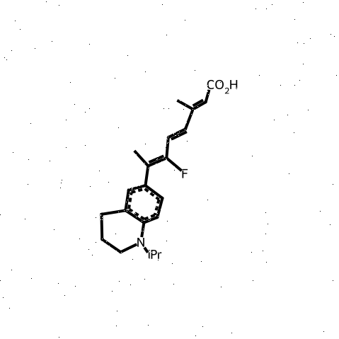 C\C(=C(F)/C=C/C(C)=C/C(=O)O)c1ccc2c(c1)CCCN2C(C)C